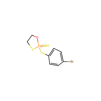 S=P1(Sc2ccc(Br)cc2)OCCS1